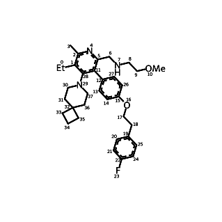 CCc1c(C)nc(CNCCOC)c(-c2ccc(OCCc3ccc(F)cc3)cc2)c1N1CCC2(CCC2)CC1